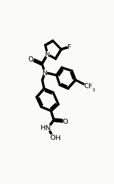 O=C(NO)c1ccc(CN(C(=O)N2CCC(F)C2)c2ccc(C(F)(F)F)cc2)cc1